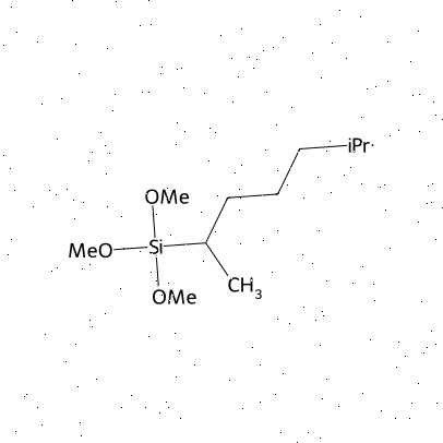 CO[Si](OC)(OC)C(C)CCC[C](C)C